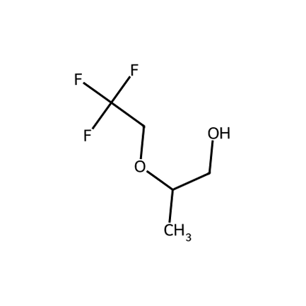 CC(CO)OCC(F)(F)F